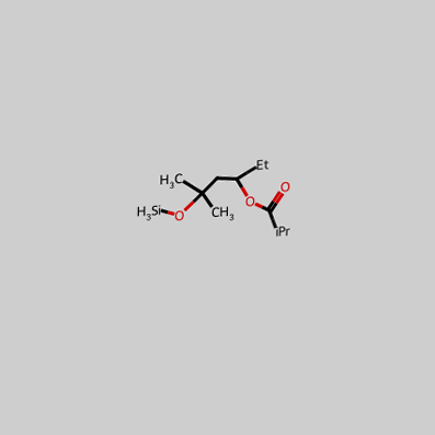 CCC(CC(C)(C)O[SiH3])OC(=O)C(C)C